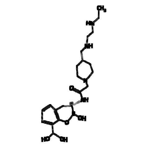 CCNCCNCC1CCN(CC(=O)N[C@H]2Cc3cccc(C(O)O)c3OB2O)CC1